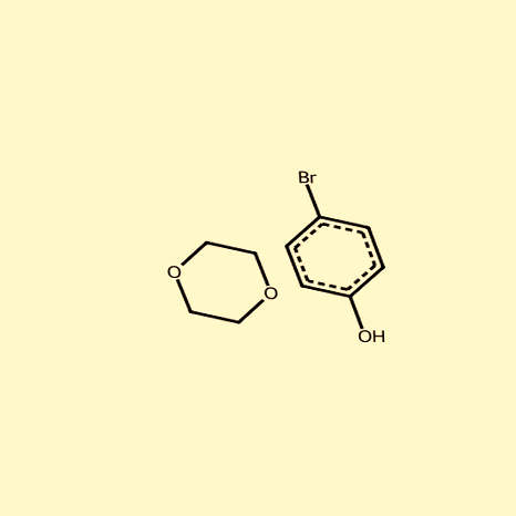 C1COCCO1.Oc1ccc(Br)cc1